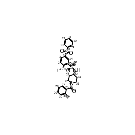 CC(C)c1ccc(S(=O)(=O)c2ccccc2)cc1S(=O)(=O)NC1CCN(C(=O)c2ccccc2F)CC1